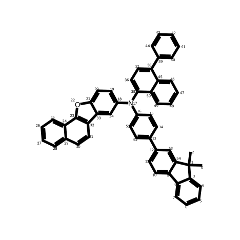 CC1(C)c2ccccc2-c2ccc(-c3ccc(N(c4ccc5oc6c7ccccc7ccc6c5c4)c4ccc(-c5ccccc5)c5ccccc45)cc3)cc21